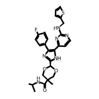 CC(C)NC(=O)C1(C)COC(c2nc(-c3ccc(F)cc3)c(-c3ccnc(NCc4cccs4)n3)[nH]2)OC1